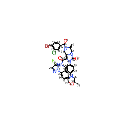 CC1Cn2c(c(C(=O)NCc3ccccc3-n3cc(F)cn3)n(-c3ccc(N4CCO[C@H](C)C4)cc3)c2=O)CN1C(=O)c1ccc(Br)c(Cl)c1